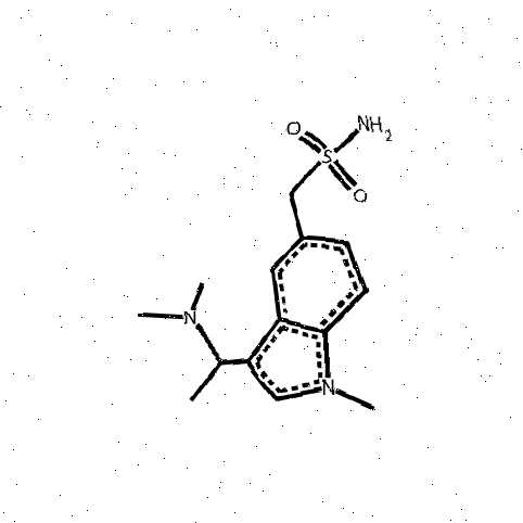 CC(c1cn(C)c2ccc(CS(N)(=O)=O)cc12)N(C)C